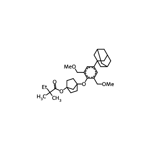 CCC(C)(C)C(=O)OC12CCC(Oc3c(COC)cc(C45CC6CC(CC(C6)C4)C5)cc3COC)(CC1)C2